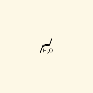 C/C=C/C.O